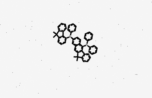 CC1(C)c2ccccc2-c2c(N(c3ccccc3)c3ccc4c(N(c5ccccc5)c5ccccc5)c5c(cc4c3)C(C)(C)c3ccccc3-5)cccc21